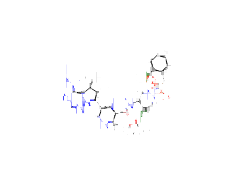 COc1ncc(-c2cc(C(F)(F)F)c3c(N)ncnn23)cc1C(=O)N[C@@H]1CN(S(=O)(=O)Cc2ccccc2Cl)C[C@@H]1F